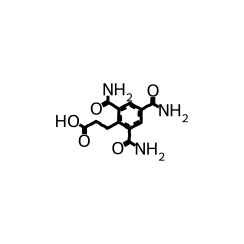 NC(=O)c1cc(C(N)=O)c(CCC(=O)O)c(C(N)=O)c1